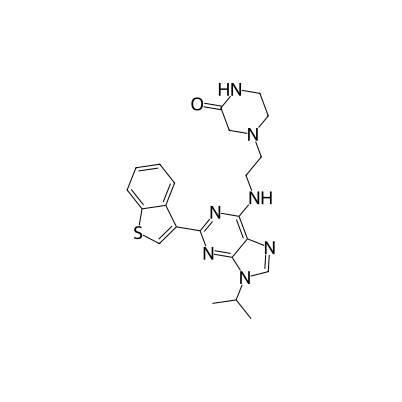 CC(C)n1cnc2c(NCCN3CCNC(=O)C3)nc(-c3csc4ccccc34)nc21